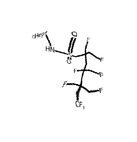 CCCCCCCNS(=O)(=O)C(F)(F)C(F)(F)C(F)(F)C(F)(F)F